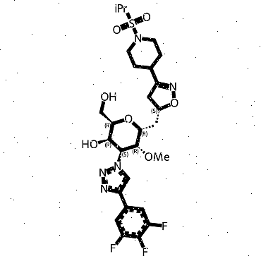 CO[C@@H]1[C@@H](n2cc(-c3cc(F)c(F)c(F)c3)nn2)[C@@H](O)[C@@H](CO)O[C@@H]1C[C@@H]1CC(C2CCN(S(=O)(=O)C(C)C)CC2)=NO1